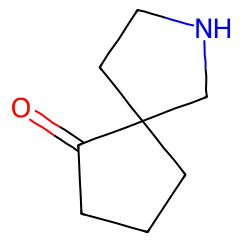 O=C1CCCC12CCNC2